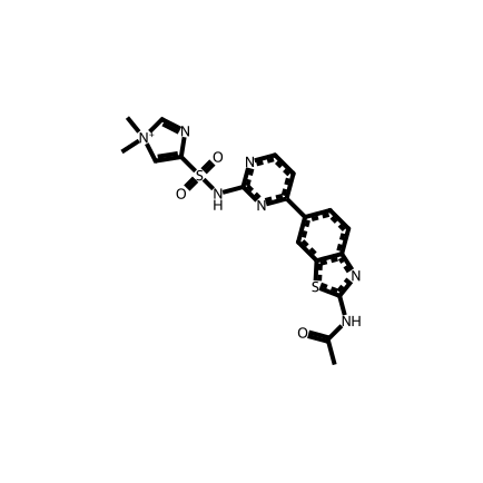 CC(=O)Nc1nc2ccc(-c3ccnc(NS(=O)(=O)C4=C[N+](C)(C)C=N4)n3)cc2s1